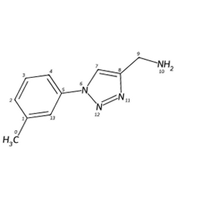 Cc1cccc(-n2cc(CN)nn2)c1